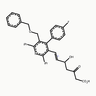 CC(C)c1nc(C(C)C)c(COCc2ccccc2)c(-c2ccc(F)cc2)c1/C=C/C(O)CC(=O)CC(=O)O